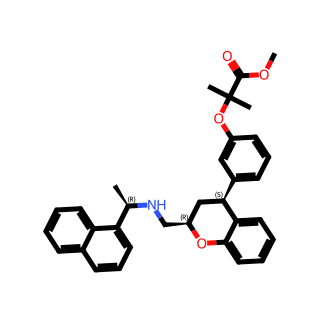 COC(=O)C(C)(C)Oc1cccc([C@@H]2C[C@H](CN[C@H](C)c3cccc4ccccc34)Oc3ccccc32)c1